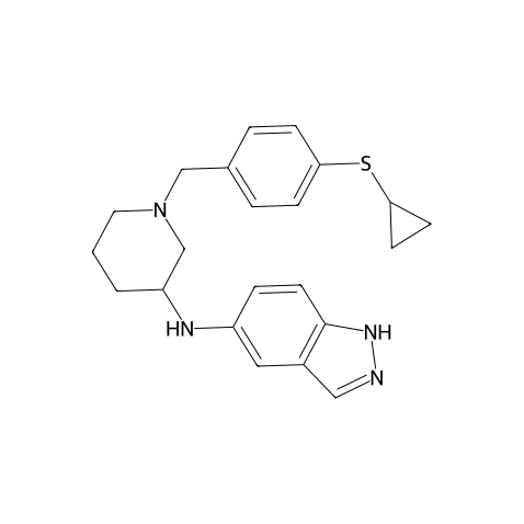 c1cc(SC2CC2)ccc1CN1CCCC(Nc2ccc3[nH]ncc3c2)C1